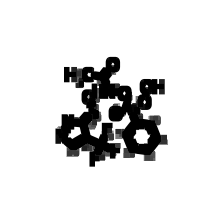 CC(=O)NO[As](=O)(OO)c1ccccc1.O=S=C1N=NC=C1C(F)(F)F